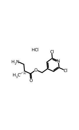 C[C@H](CN)C(=O)OCc1cc(Cl)nc(Cl)c1.Cl